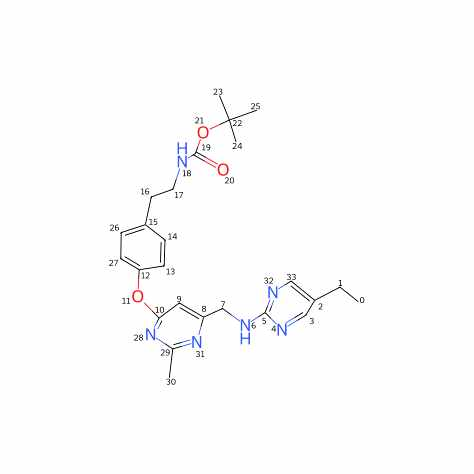 CCc1cnc(NCc2cc(Oc3ccc(CCNC(=O)OC(C)(C)C)cc3)nc(C)n2)nc1